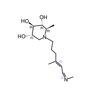 C/N=C\C=C(/C)CCCN1C[C@H](O)[C@@H](O)[C@H](O)[C@H]1C